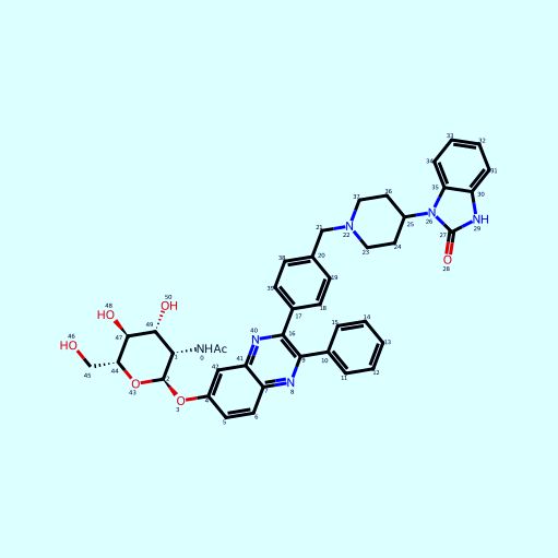 CC(=O)N[C@@H]1[C@@H](Oc2ccc3nc(-c4ccccc4)c(-c4ccc(CN5CCC(n6c(=O)[nH]c7ccccc76)CC5)cc4)nc3c2)O[C@H](CO)[C@@H](O)[C@@H]1O